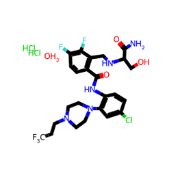 Cl.Cl.NC(=O)C(CO)NCc1c(C(=O)Nc2ccc(Cl)cc2N2CCN(CCC(F)(F)F)CC2)ccc(F)c1F.O